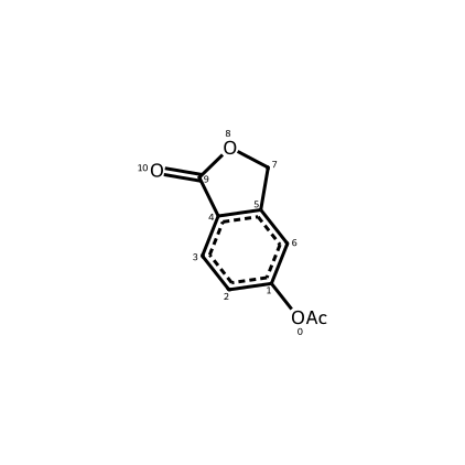 CC(=O)Oc1ccc2c(c1)COC2=O